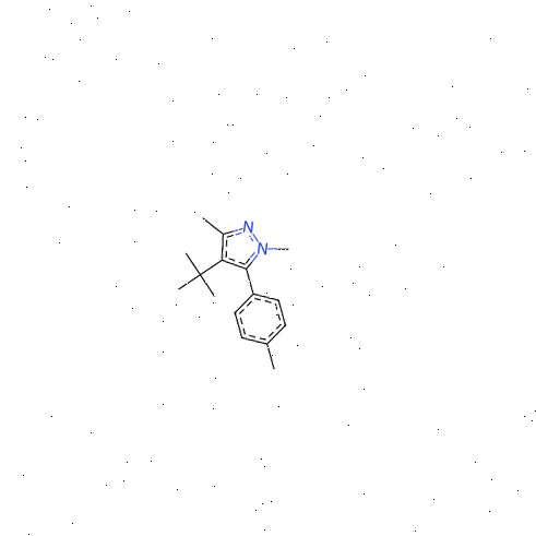 Cc1ccc(-c2c(C(C)(C)C)c(C)nn2C)cc1